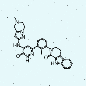 Cc1c(-c2cc(Nc3cc4n(n3)CCN(C)C4)c(=O)[nH]n2)cccc1N1CCc2c([nH]c3ccccc23)C1=O